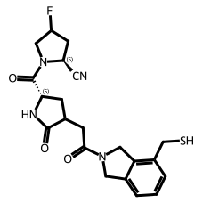 N#C[C@@H]1CC(F)CN1C(=O)[C@@H]1CC(CC(=O)N2Cc3cccc(CS)c3C2)C(=O)N1